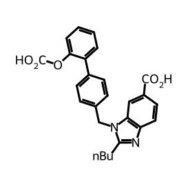 CCCCc1nc2ccc(C(=O)O)cc2n1Cc1ccc(-c2ccccc2OC(=O)O)cc1